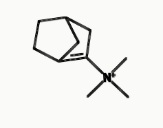 C[N+](C)(C)C1=C2CCC(C2)C1